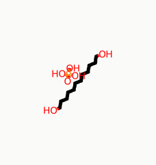 O=P(O)(O)O.OCCCCCCCCCCCCO